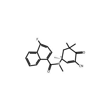 CN(C(=O)c1ccc(F)c2ccccc12)[C@]1(C)C=C(C#N)C(=O)C(C)(C)C1